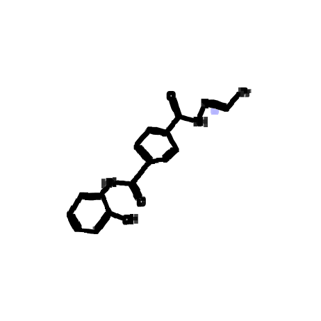 CC(C)/C=N/NC(=O)c1ccc(C(=O)Nc2ccccc2O)cc1